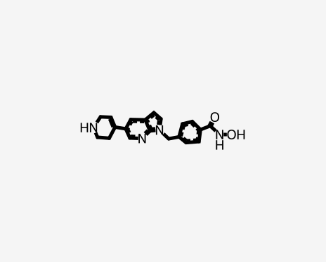 O=C(NO)c1ccc(Cn2ccc3cc(C4=CCNCC4)cnc32)cc1